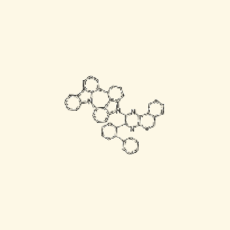 c1ccc(-c2ccccc2-c2nc3ccc4ccccc4c3nc2-n2c3cccc4c5cccc6c7ccccc7n(c7cccc2c7c43)c56)cc1